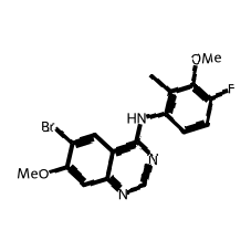 COc1cc2ncnc(Nc3ccc(F)c(OC)c3C)c2cc1Br